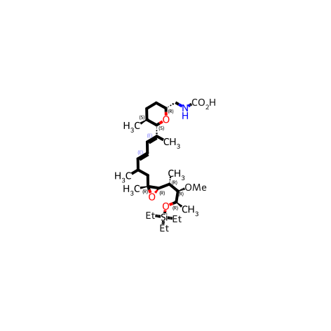 CC[Si](CC)(CC)O[C@H](C)[C@H](OC)[C@@H](C)[C@H]1O[C@]1(C)CC(C)/C=C/C=C(\C)[C@H]1O[C@@H](CNC(=O)O)CC[C@@H]1C